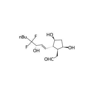 CCCCC(F)(F)[C@@H](O)C=C[C@H]1[C@H](CC=O)[C@H](O)C[C@@H]1O